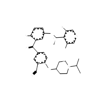 CC(C)N1CCC(Oc2ccc(C(=N)c3cc(O[C@H](C)c4c(Cl)cncc4Cl)ccc3N)cc2C#N)CC1